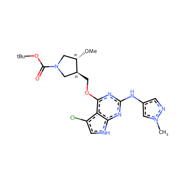 CO[C@H]1CN(C(=O)OC(C)(C)C)C[C@@H]1COc1nc(Nc2cnn(C)c2)nc2[nH]cc(Cl)c12